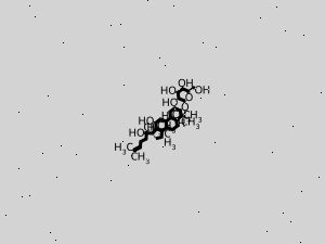 CC(C)=CCC[C@@](C)(O)[C@H]1CC[C@]2(C)[C@@H]1[C@H](O)C[C@@H]1[C@@]3(C)CC[C@H](O[C@@H]4O[C@H](CO)[C@@H](O)[C@H](O)[C@H]4O)C(C)(C)[C@@H]3CC[C@]12C